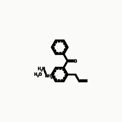 C=CCc1ccccc1C(=O)c1ccccc1.NN.O